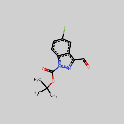 CC(C)(C)OC(=O)n1nc(C=O)c2cc(F)ccc21